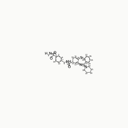 NS(=O)(=O)c1ccc(CNC(=O)C2C=C3N=C(N4CCCCC4)c4ccccc4SC3=CC2)cc1